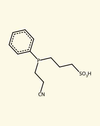 N#CCCP(CCCS(=O)(=O)O)c1ccccc1